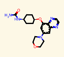 NC(=O)N[C@H]1CC[C@@H](Oc2cc(N3CCOCC3)cc3nccnc23)CC1